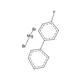 Fc1ccc(-c2cc[c]cc2)cc1.[Br][Mg][Br]